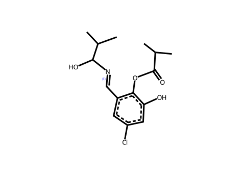 CC(C)C(=O)Oc1c(O)cc(Cl)cc1/C=N/C(O)C(C)C